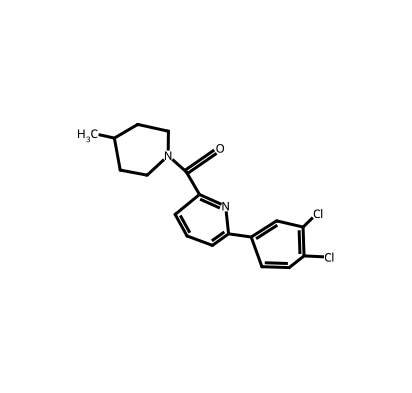 CC1CCN(C(=O)c2cccc(-c3ccc(Cl)c(Cl)c3)n2)CC1